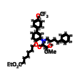 CCOC(=O)CCCCCCOc1ccc(-c2ccc(OC(F)(F)F)cc2)cc1N(CCCCc1ccccc1)C(=O)C(=O)OC